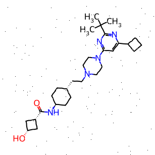 CC(C)(C)c1nc(C2CCC2)cc(N2CCN(CC[C@H]3CC[C@H](NC(=O)[C@H]4C[C@@H](O)C4)CC3)CC2)n1